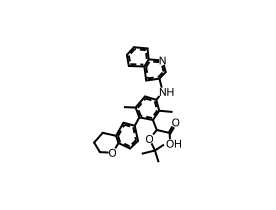 Cc1cc(Nc2cnc3ccccc3c2)c(C)c(C(OC(C)(C)C)C(=O)O)c1-c1ccc2c(c1)CCCO2